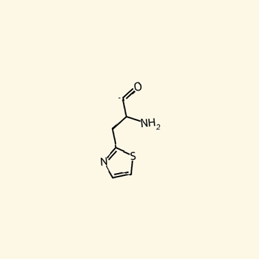 NC([C]=O)Cc1nccs1